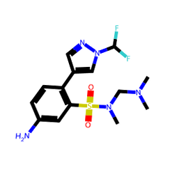 CN(C)CN(C)S(=O)(=O)c1cc(N)ccc1-c1cnn(C(F)F)c1